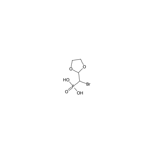 O=P(O)(O)C(Br)C1OCCO1